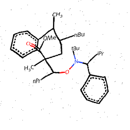 CCCCC(CC(C)(C(=O)OC)C(CCC)ON(C(c1ccccc1)C(C)C)C(C)(C)C)C(C)c1ccccc1